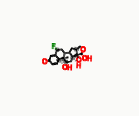 C[C@@H]1CC2C3C[C@H](F)C4=CC(=O)C=C[C@]4(C)[C@@]3(C)[C@@H](O)C[C@]2(C)[C@@]1(O)C(=O)O